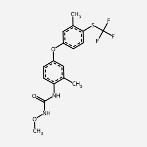 CONC(=O)Nc1ccc(Oc2ccc(SC(F)(F)F)c(C)c2)cc1C